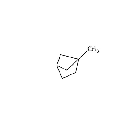 CC12CCC(C1)C2